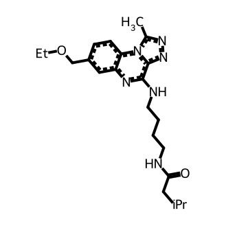 CCOCc1ccc2c(c1)nc(NCCCCNC(=O)CC(C)C)c1nnc(C)n12